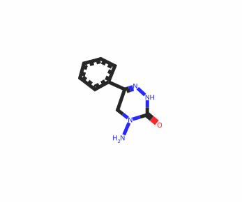 NN1CC(c2ccccc2)=NNC1=O